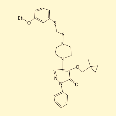 CCOc1cccc(SCSN2CCN(c3cnn(-c4ccccc4)c(=O)c3OCC3(C)CC3)CC2)c1